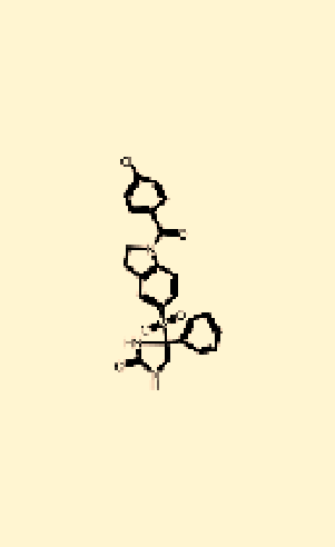 O=C1NCC(c2ccccc2)(S(=O)(=O)c2ccc3c(c2)CCN3C(=O)c2ccc(Cl)cc2)N1